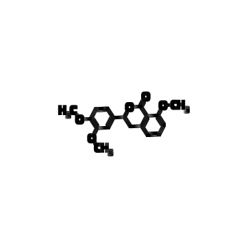 COc1ccc(C2Cc3cccc(OC)c3C(=O)O2)cc1OC